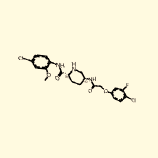 COc1cc(Cl)ccc1NC(=O)[C@H]1CC[C@H](NC(=O)COc2ccc(Cl)c(F)c2)CN1